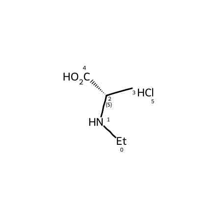 CCN[C@@H](C)C(=O)O.Cl